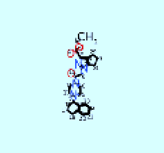 CCOC(=O)c1nn(CC(=O)N2CCN(C3CCCc4ccccc43)CC2)c2c1CCC2